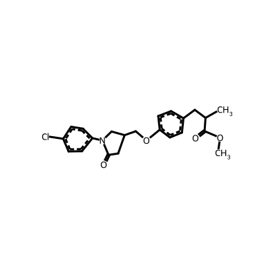 COC(=O)C(C)Cc1ccc(OCC2CC(=O)N(c3ccc(Cl)cc3)C2)cc1